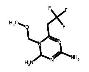 COCN1C(CC(F)(F)F)=NC(N)=NC1N